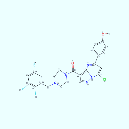 COc1ccc(-c2cc(Cl)n3ncc(C(=O)N4CCN(Cc5cc(F)cc(F)c5F)CC4)c3n2)cc1